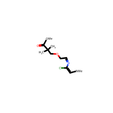 CN/C=C(Cl)\N=C/COCC(C)(C)C(=O)OC